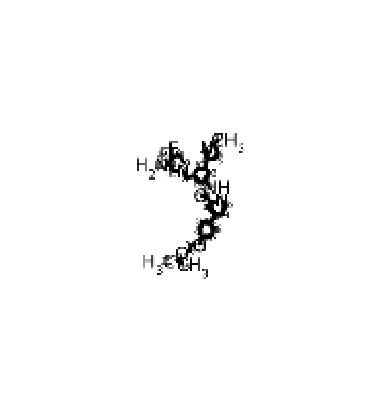 Cc1ccc(-c2cc(CN3CCC(F)(F)[C@H](N)C3)cc(NC(=O)c3cc(-c4ccc(OCCOC(C)C)cc4)ccn3)c2)cn1